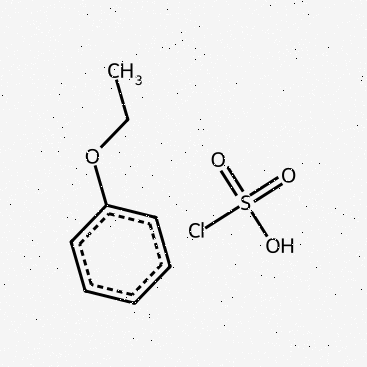 CCOc1ccccc1.O=S(=O)(O)Cl